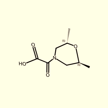 C[C@H]1CN(C(=O)C(=O)O)C[C@H](C)O1